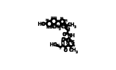 C#CCNC(=O)C1=C(C)CSC2[C@@H](NC(=O)CCC(C)C3CCC4C5CCC6CC(O)CCC6(C)C5CCC34C)C(=O)N12